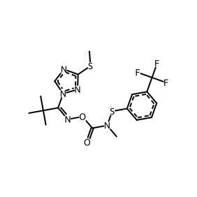 CSc1ncn(C(=NOC(=O)N(C)Sc2cccc(C(F)(F)F)c2)C(C)(C)C)n1